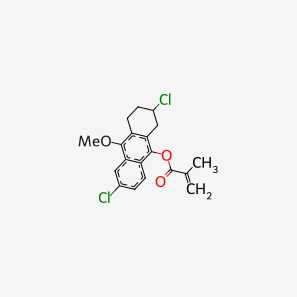 C=C(C)C(=O)Oc1c2c(c(OC)c3cc(Cl)ccc13)CCC(Cl)C2